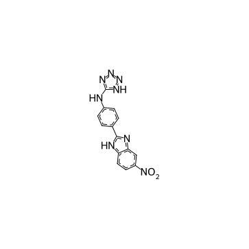 O=[N+]([O-])c1ccc2[nH]c(-c3ccc(Nc4nnn[nH]4)cc3)nc2c1